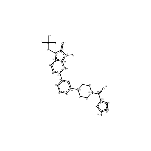 Cn1c(=O)n(CC(C)(C)C)c2ccc(-c3cccc(N4CCN(C(=O)c5cn[nH]c5)CC4)c3)nc21